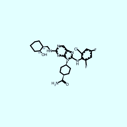 NC(=O)[C@H]1CC[C@@H](n2c(Nc3c(F)cc(F)cc3Cl)nc3cnc(NC[C@@H]4CCCC[C@@H]4O)nc32)CC1